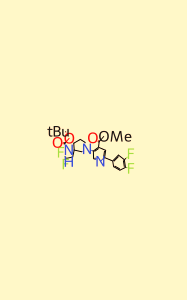 COC(=O)c1cc(-c2ccc(F)c(F)c2)ncc1N1CCCC(CC(F)F)(NC(=O)OC(C)(C)C)C1